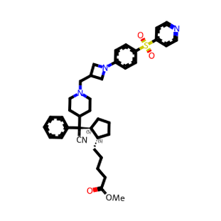 COC(=O)CCCC[C@H]1CCC[C@@H]1C(C#N)(c1ccccc1)C1CCN(CC2CN(c3ccc(S(=O)(=O)c4ccncc4)cc3)C2)CC1